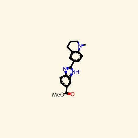 COC(=O)c1ccc2nc(-c3ccc4c(c3)CCCN4C)[nH]c2c1